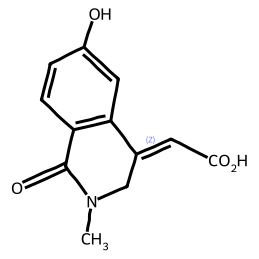 CN1C/C(=C\C(=O)O)c2cc(O)ccc2C1=O